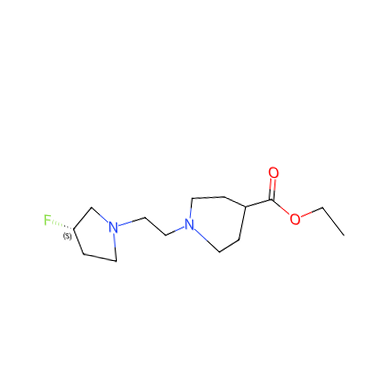 CCOC(=O)C1CCN(CCN2CC[C@H](F)C2)CC1